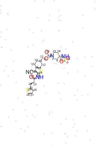 CS(=O)(=O)NC1CCN(C(=O)OCC2CCc3c(sc(NC(=O)C=Cc4cccs4)c3C#N)C2)CC1